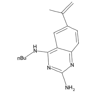 C=C(C)c1ccc2nc(N)nc(NCCCC)c2c1